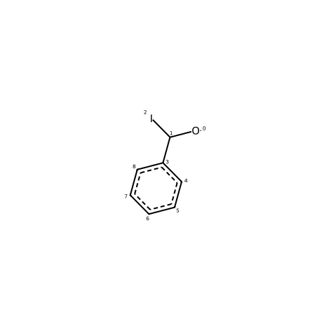 [O]C(I)c1ccccc1